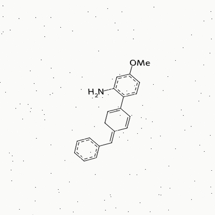 COc1ccc(C2=CCC(=Cc3ccccc3)C=C2)c(N)c1